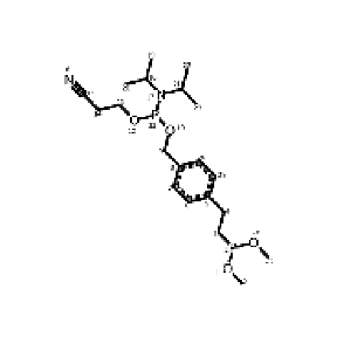 COP(CCc1ccc(COP(OCCC#N)N(C(C)C)C(C)C)cc1)OC